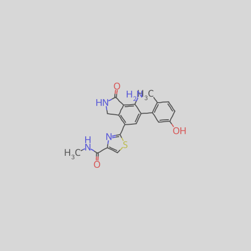 CNC(=O)c1csc(-c2cc(-c3cc(O)ccc3C)c(N)c3c2CNC3=O)n1